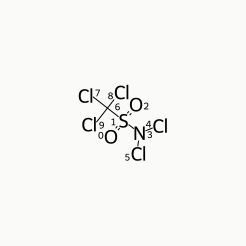 O=S(=O)(N(Cl)Cl)C(Cl)(Cl)Cl